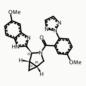 COc1ccc(-n2nccn2)c(C(=O)N2C[C@@H]3C[C@@H]3[C@H]2c2nc3cc(OC)ccc3[nH]2)c1